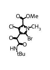 COC(=O)c1c(Cl)c(C(=O)C(=O)NC(C)(C)C)c(Br)n1C